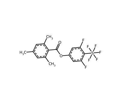 Cc1cc(C)c(C(=O)Oc2cc(F)c(S(F)(F)(F)(F)F)c(F)c2)c(C)c1